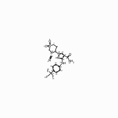 N#C[C@@H]1CS(=O)(=O)CCC1n1cc(C(N)=O)c(Nc2ccc(C(F)(F)F)cc2)n1